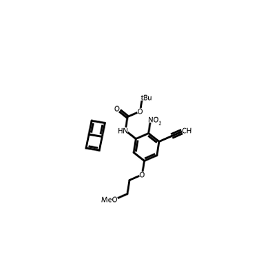 C#Cc1cc(OCCOC)cc(NC(=O)OC(C)(C)C)c1[N+](=O)[O-].c1cc2ccc1-2